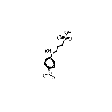 O=[N+]([O-])c1ccc(OCCCS(=O)(=O)O)cc1.[KH]